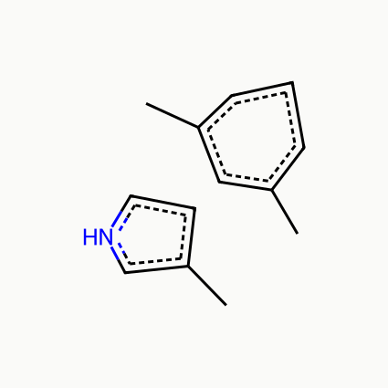 Cc1cc[nH]c1.Cc1cccc(C)c1